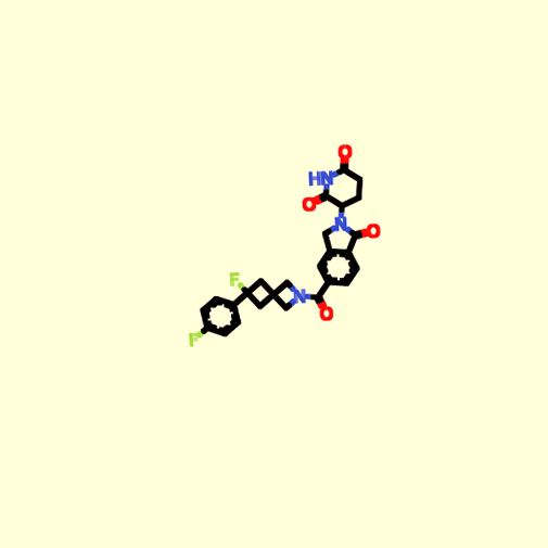 O=C1CCC(N2Cc3cc(C(=O)N4CC5(C4)CC(F)(c4ccc(F)cc4)C5)ccc3C2=O)C(=O)N1